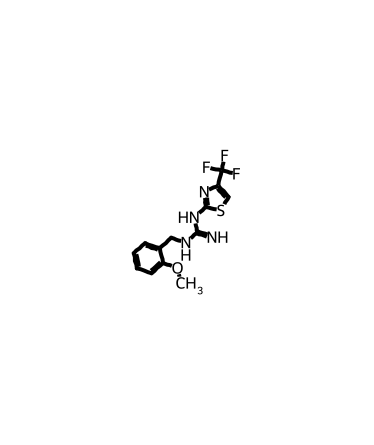 COc1ccccc1CNC(=N)Nc1nc(C(F)(F)F)cs1